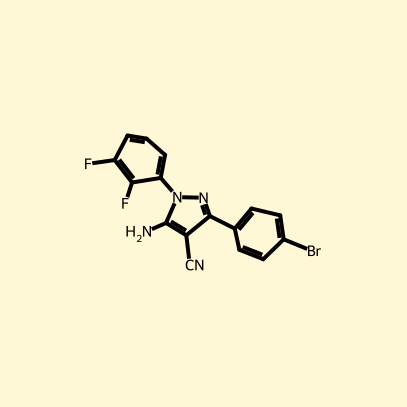 N#Cc1c(-c2ccc(Br)cc2)nn(-c2cccc(F)c2F)c1N